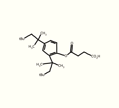 CC(C)(C)CC(C)(C)c1ccc(OC(=O)CCC(=O)O)c(C(C)(C)CC(C)(C)C)c1